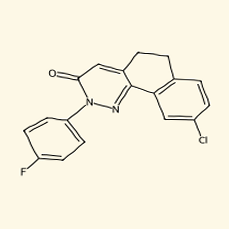 O=c1cc2c(nn1-c1ccc(F)cc1)-c1cc(Cl)ccc1CC2